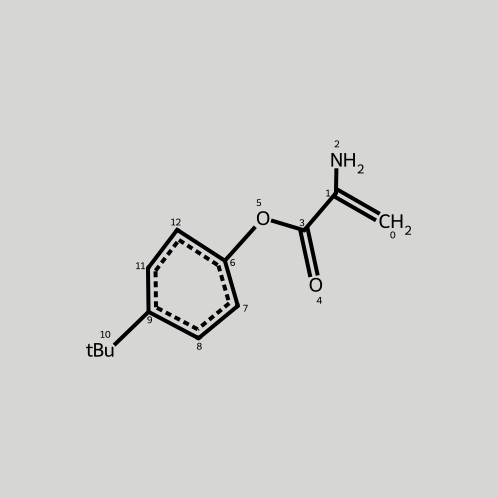 C=C(N)C(=O)Oc1ccc(C(C)(C)C)cc1